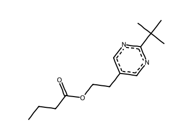 CCCC(=O)OCCc1cnc(C(C)(C)C)nc1